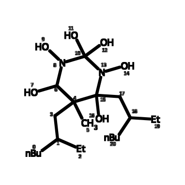 CCCCC(CC)CC1(C)C(O)N(O)C(O)(O)N(O)C1(O)CC(CC)CCCC